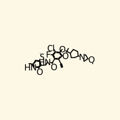 C#Cc1c2c(c(Cl)c(F)c1C(=O)NCc1c(SC)cc(C)[nH]c1=O)OC(C)(C1CCC(N3CC(OC)C3)CC1)O2